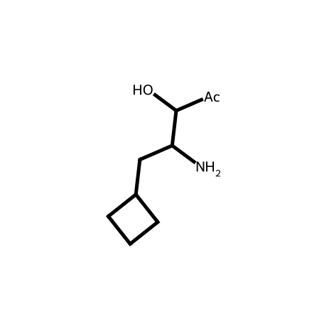 CC(=O)C(O)C(N)CC1CCC1